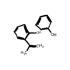 C=C(C)c1ccccc1O.Oc1ccccc1